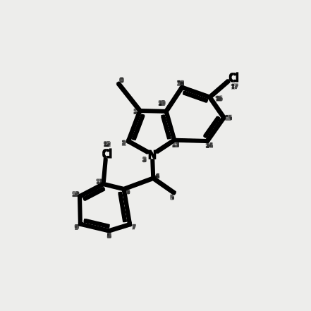 Cc1cn(C(C)c2ccccc2Cl)c2ccc(Cl)cc12